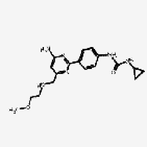 COCCNCc1cc(N)nc(-c2ccc(NC(=O)NC3CC3)cc2)n1